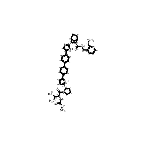 COC(=O)N[C@H](C(=O)N1CCC[C@H]1c1ncc(-c2ccc(-c3ccc(-c4cnc([C@@H]5C6CCC(C6)[C@H]5C(=O)NCc5cccnc5OC)[nH]4)cc3)cc2)[nH]1)C(C)C